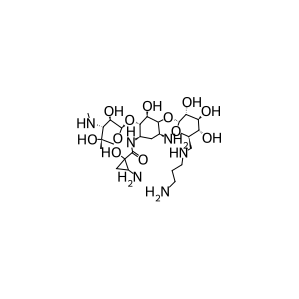 CN[C@@H]1[C@@H](O)[C@@H](O[C@H]2[C@H](NC(=O)C3(O)CC3N)C[C@H](N)C(O[C@H]3O[C@H](CNCCCN)[C@@H](O)[C@H](O)[C@H]3O)[C@@H]2O)OC[C@]1(C)O